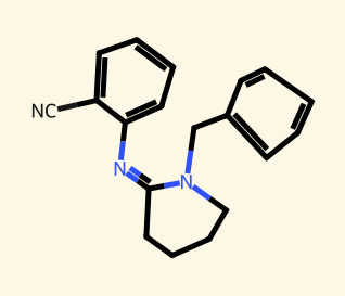 N#Cc1ccccc1N=C1CCCCN1Cc1ccccc1